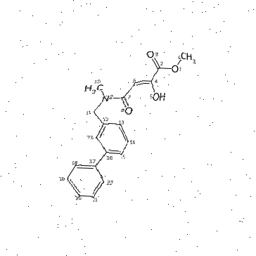 COC(=O)C(O)=CC(=O)N(C)Cc1cccc(-c2ccccc2)c1